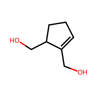 OCC1=CCCC1CO